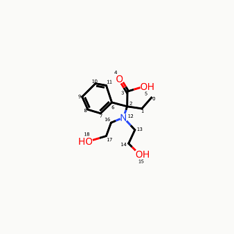 CCC(C(=O)O)(c1ccccc1)N(CCO)CCO